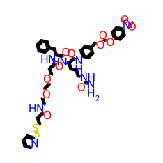 NC(=O)NCCCC(NC(=O)C(Cc1ccccc1)NC(=O)CCOCCOCCNC(=O)CCSSc1ccccn1)C(=O)Nc1ccc(COC(=O)Oc2ccc([N+](=O)[O-])cc2)cc1